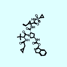 C=CC1CC1(NC(=O)[C@@H]1C[C@@H](NC(=O)OC2=NCc3ccccc32)CN1C(=O)[C@@H](NC(=O)CC1CC1)C(C)(C)C)C(=O)NS(=O)(=O)C1CC1